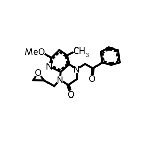 COc1cc(C)c2c(n1)N(CC1CO1)C(=O)CN2CC(=O)c1ccccc1